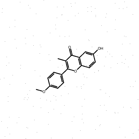 COc1ccc(-c2oc3ccc(O)cc3c(=O)c2C)cc1